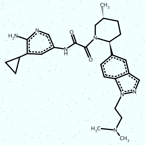 C[C@@H]1CC[C@@H](c2ccc3c(cnn3CCN(C)C)c2)N(C(=O)C(=O)Nc2cnc(N)c(C3CC3)c2)C1